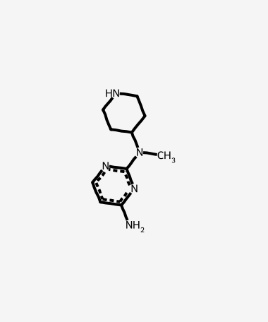 CN(c1nccc(N)n1)C1CCNCC1